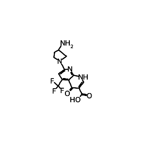 NC1CCN(c2cc(C(F)(F)F)c3c(=O)c(C(=O)O)c[nH]c3n2)C1